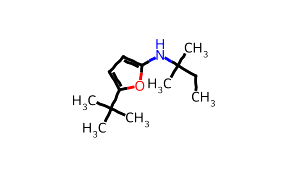 CCC(C)(C)Nc1ccc(C(C)(C)C)o1